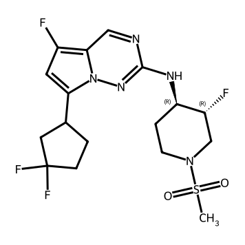 CS(=O)(=O)N1CC[C@@H](Nc2ncc3c(F)cc(C4CCC(F)(F)C4)n3n2)[C@H](F)C1